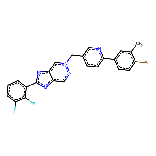 Fc1cccc(-c2nc3cnn(Cc4ccc(-c5ccc(Br)c(C(F)(F)F)c5)nc4)cc-3n2)c1F